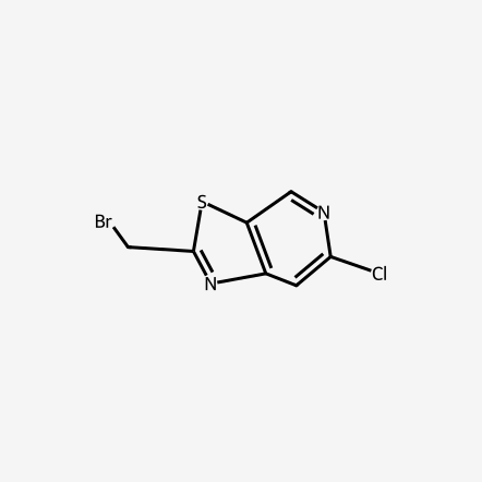 Clc1cc2nc(CBr)sc2cn1